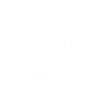 c1ccc(-c2sc(-c3ccc(-c4sc(-c5ccccc5)c5c4OCCO5)cc3)c3c2OCCO3)cc1